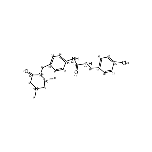 C[C@@H]1CN(C)CC(=O)N1Cc1ccc(NC(=O)NCc2ccc(Cl)cc2)cc1